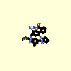 CCCc1nc2c(C)cc(-c3nc4ccccc4n3C)cc2n1Cc1ccc(-c2ccccc2C(=O)ON)cc1